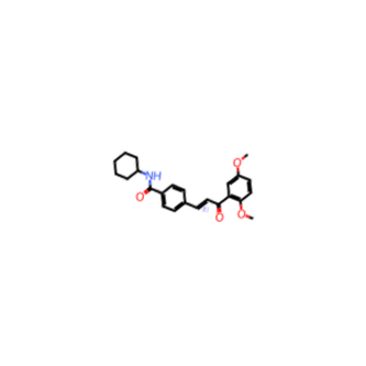 COc1ccc(OC)c(C(=O)/C=C/c2ccc(C(=O)NC3CCCCC3)cc2)c1